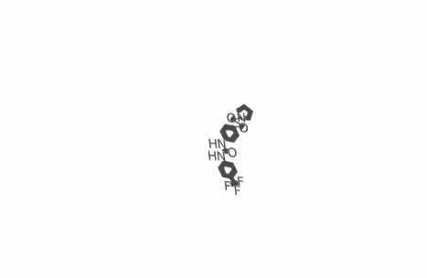 O=C(Nc1ccc(C(F)(F)F)cc1)Nc1ccc(S(=O)(=O)N2CCCC2)cc1